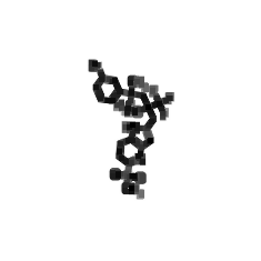 CC(C)(CC(O)(Cc1cc2nc(S(C)(=O)=O)ccc2[nH]1)C(F)(F)F)c1cccc(Br)c1